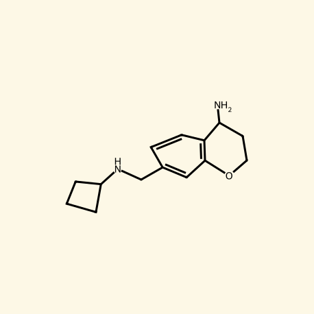 NC1CCOc2cc(CNC3CCC3)ccc21